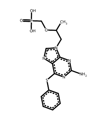 CC(Cn1cnc2c(Sc3ccccc3)nc(N)nc21)OCP(=O)(O)O